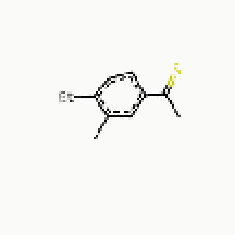 CCc1ccc(C(C)=S)cc1C